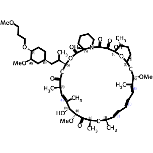 COCCCO[C@@H]1CC[C@@H](CC(C)[C@@H]2CC(=O)[C@H](C)/C=C(\C)[C@@H](O)[C@@H](OC)C(=O)[C@H](C)C[C@H](C)/C=C/C=C/C=C(\C)[C@@H](OC)C[C@@H]3CC[C@@H](C)[C@@](O)(O3)C(=O)C(=O)N3CCCC[C@H]3C(=O)O2)C[C@H]1OC